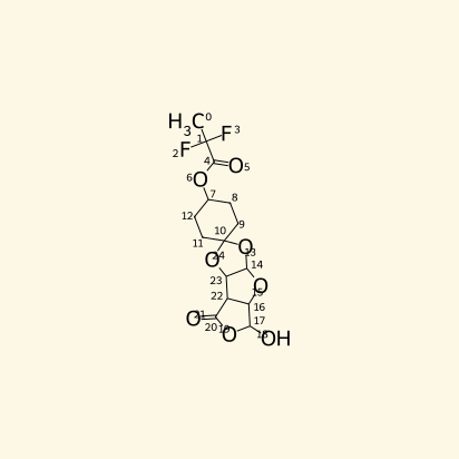 CC(F)(F)C(=O)OC1CCC2(CC1)OC1OC3C(O)OC(=O)C3C1O2